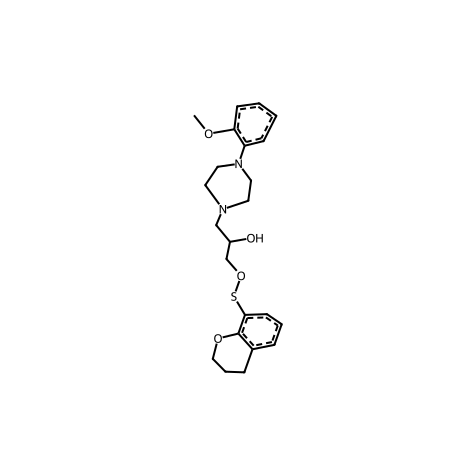 COc1ccccc1N1CCN(CC(O)COSc2cccc3c2OCCC3)CC1